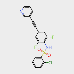 O=S(=O)(Nc1c(F)cc(C#Cc2cccnc2)cc1F)c1ccccc1Cl